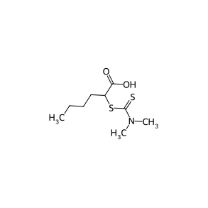 CCCCC(SC(=S)N(C)C)C(=O)O